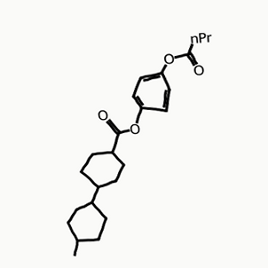 CCCC(=O)Oc1ccc(OC(=O)C2CCC(C3CCC(C)CC3)CC2)cc1